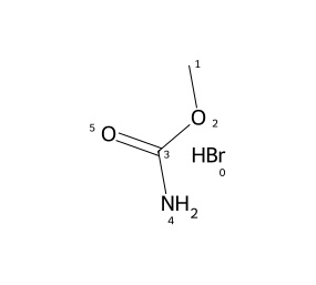 Br.COC(N)=O